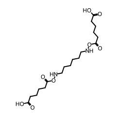 O=C(O)CCCCC(=O)ONCCCCCCNOC(=O)CCCCC(=O)O